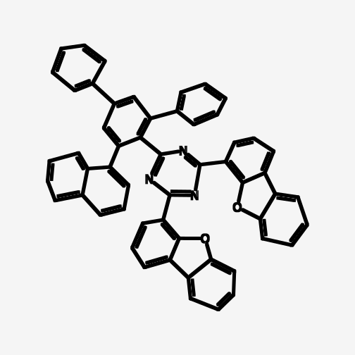 c1ccc(-c2cc(-c3ccccc3)c(-c3nc(-c4cccc5c4oc4ccccc45)nc(-c4cccc5c4oc4ccccc45)n3)c(-c3cccc4ccccc34)c2)cc1